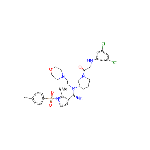 CNc1c(C(=N)N(CCN2CCOCC2)C2CCCN(C(=O)CNc3cc(Cl)cc(Cl)c3)C2)ccn1S(=O)(=O)c1ccc(C)cc1